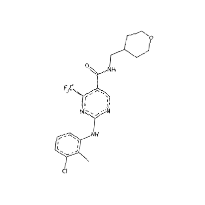 Cc1c(Cl)cccc1Nc1ncc(C(=O)NCC2CCOCC2)c(C(F)(F)F)n1